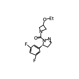 CCOC1CN(C(=O)N2N=CC[C@H]2c2cc(F)cc(F)c2)C1